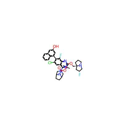 CC(C)(C)OC(=O)N1C2CCC1CN(c1nc(OC[C@@]34CCCN3C[C@H](F)C4)nc3c(F)c(-c4cc(O)cc5ccccc45)c(Cl)cc13)C2